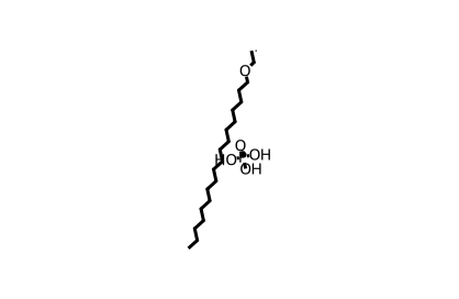 O=P(O)(O)O.[CH2]COCCCCCCCCCCCCCCCCCC